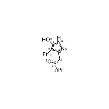 CCC[S+]([O-])Cc1n[nH]c(O)c1CC